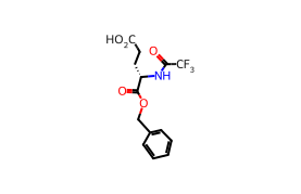 O=C(O)CC[C@H](NC(=O)C(F)(F)F)C(=O)OCc1ccccc1